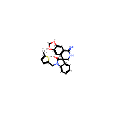 N=C1NCC2(C(=O)N(Cc3ccc(C(F)(F)F)s3)c3ccccc32)c2cc3c(cc21)OCO3